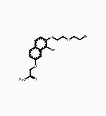 COC(=O)COc1ccc2ccc(OCCOCCBr)c(C(C)=O)c2c1